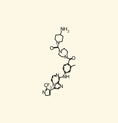 Cc1cc(Nc2nccn3c(C4=CCN=C4C(F)(F)F)cnc23)ccc1C(=O)N1CCN(C(=O)N2CCC(N)CC2)CC1